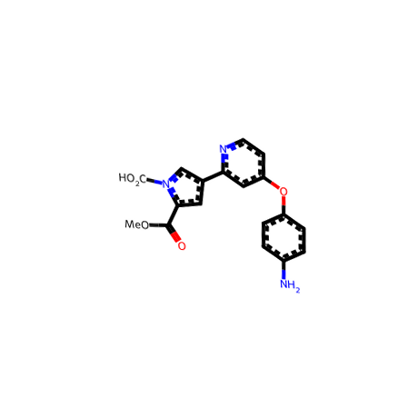 COC(=O)c1cc(-c2cc(Oc3ccc(N)cc3)ccn2)cn1C(=O)O